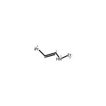 CCNC=CC(C)C